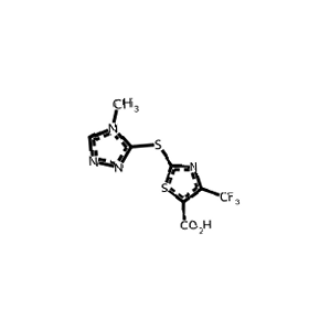 Cn1cnnc1Sc1nc(C(F)(F)F)c(C(=O)O)s1